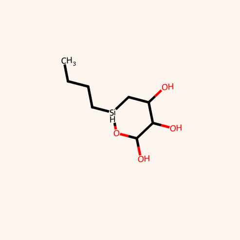 CCCC[SiH]1CC(O)C(O)C(O)O1